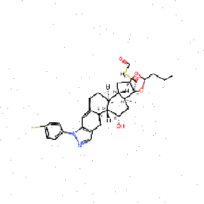 CCCC1O[C@@H]2C[C@H]3[C@@H]4CCC5=Cc6c(cnn6-c6ccc(F)cc6)C[C@]5(C)[C@H]4[C@@H](O)C[C@]3(C)[C@]2(C(=O)SC=O)O1